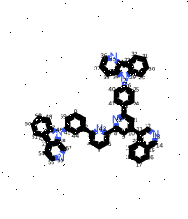 c1cc(-c2cccc(-c3cc(-c4cncc5ccccc45)cc(-c4ccc(-n5c6ccccc6c6ncccc65)cc4)n3)n2)cc(-n2c3ccccc3c3ccncc32)c1